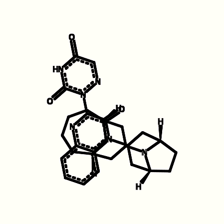 O=c1cnn(-c2nc3ccccc3n(C3C[C@H]4CC[C@@H](C3)N4C3C[C@H]4CCCC[C@@H](C3)C4)c2=O)c(=O)[nH]1